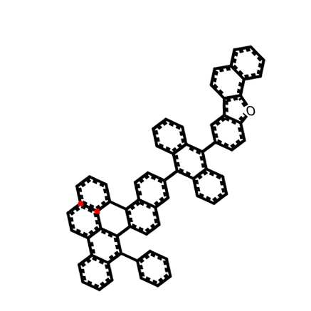 c1ccc(-c2c(-c3c(-c4ccccc4)c4ccccc4c4ccccc34)ccc3cc(-c4c5ccccc5c(-c5ccc6oc7c8ccccc8ccc7c6c5)c5ccccc45)ccc23)cc1